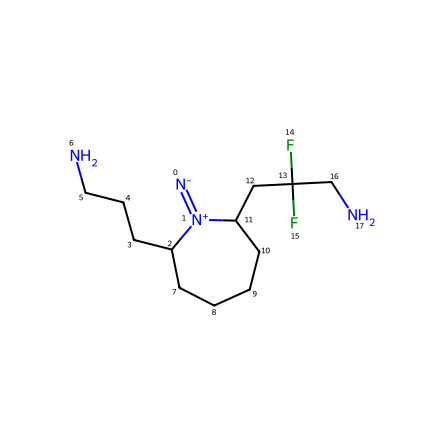 [N-]=[N+]1C(CCCN)CCCCC1CC(F)(F)CN